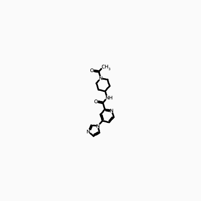 CC(=O)N1CCC(NC(=O)c2cc(-n3ccnc3)ccn2)CC1